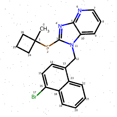 CC1(Sc2nc3ncccc3n2Cc2ccc(Br)c3ccccc23)CCC1